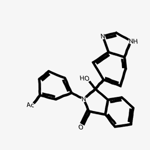 CC(=O)c1cccc(N2C(=O)c3ccccc3C2(O)c2ccc3[nH][c]nc3c2)c1